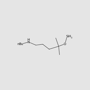 CCCCNCCCC(C)(C)O[SiH3]